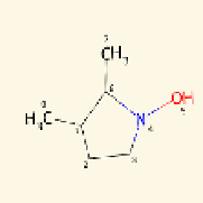 CC1CCN(O)C1C